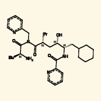 CCC(C)[C@H](N)C(=O)N(Cc1ccccn1)C(=O)[C@@H](C[C@H](O)[C@H](CC1CCCCC1)NC(=O)c1ccccn1)C(C)C